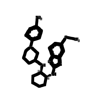 O=[N+]([O-])c1ccc(N2CCCC(N[C@@H]3CCCC[C@H]3Nc3nc4cc(OC(F)(F)F)ccc4o3)C2)cc1